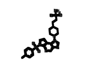 Cc1ccc(S(=O)(=O)n2ccc3c4c(cnc32)ncn4N2CCC(CCS(N)(=O)=O)CC2)cc1